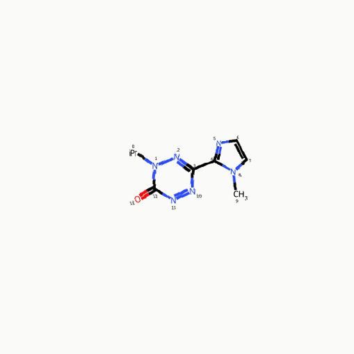 CC(C)n1nc(-c2nccn2C)nnc1=O